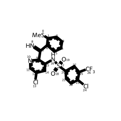 CSc1ccccc1C(=N)c1ncc(Cl)cc1NS(=O)(=O)c1ccc(Cl)c(C(F)(F)F)c1